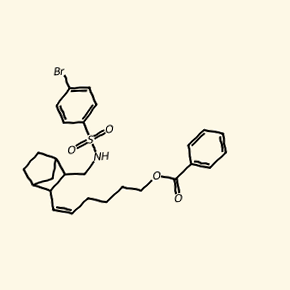 O=C(OCCCC/C=C\C1C2CCC(C2)C1CNS(=O)(=O)c1ccc(Br)cc1)c1ccccc1